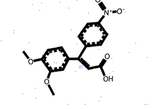 COc1ccc(/C(=C/C(=O)O)c2ccc([N+](=O)[O-])cc2)cc1OC